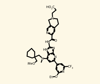 CCOc1cc(-c2cc(N(C)CC3(COC)CCCCC3)c3[nH]c(NC(=O)c4cc5c(cn4)CN(CCC(=O)O)CC5)nc3n2)cc(C(F)(F)F)n1